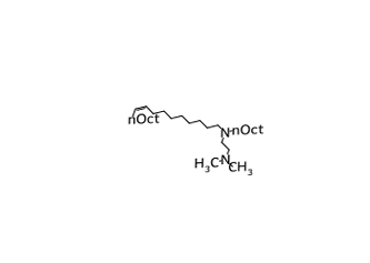 CCCCCCCC/C=C\CCCCCCCCN(CCCCCCCC)CCN(C)C